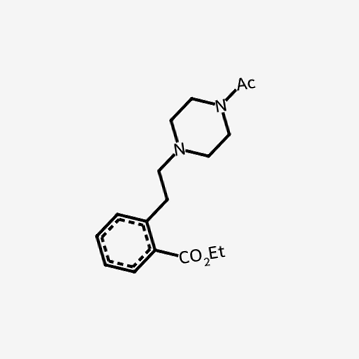 CCOC(=O)c1ccccc1CCN1CCN(C(C)=O)CC1